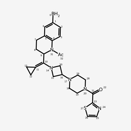 Bc1ccc2c(c1)CCC(C(=C1CC1)N1CC(N3CCN(C(=O)c4nccs4)CC3)C1)N2C(C)=O